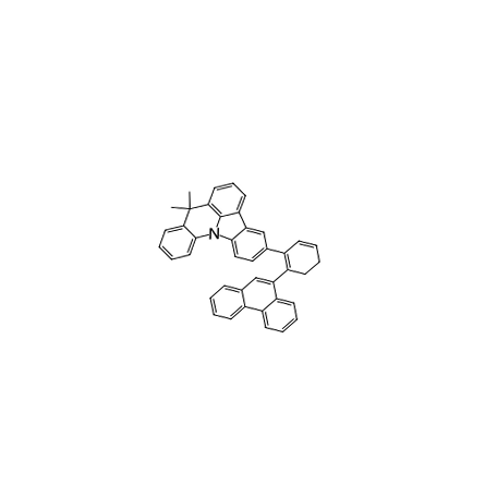 CC1(C)c2ccccc2-n2c3ccc(C4=C(c5cc6ccccc6c6ccccc56)CCC=C4)cc3c3cccc1c32